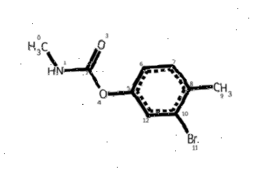 CNC(=O)Oc1ccc(C)c(Br)c1